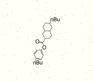 CCCCc1ccc(OC(=O)C2CCC3CC(CCCC)CCC3C2)cc1